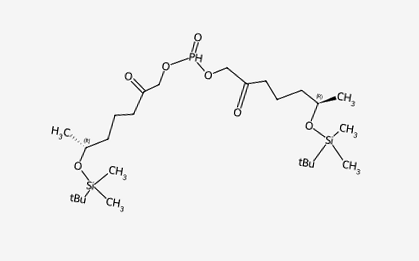 C[C@H](CCCC(=O)CO[PH](=O)OCC(=O)CCC[C@@H](C)O[Si](C)(C)C(C)(C)C)O[Si](C)(C)C(C)(C)C